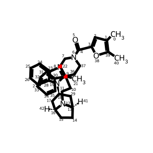 Cc1cc(C(=O)N2CCC(CCN3[C@@H]4CC[C@H]3C[C@@H](n3c(C)nc5ccccc53)C4)(c3ccccc3)CC2)oc1C